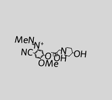 CNC=[N+](C)c1cc(OC[C@@H](O)CN2CCC(O)CC2)c(OC)cc1C#N